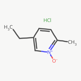 CCc1ccc(C)[n+]([O-])c1.Cl